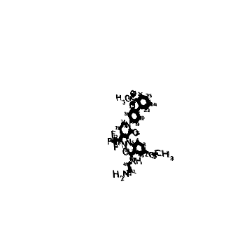 COc1ccc(-n2nc(C(F)(F)F)c3c2C(=O)N(c2ccc(-c4ccccc4S(C)(=O)=O)cc2)CC3)c(C(=O)NCCN)c1